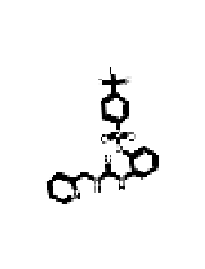 O=C(NCc1ccccn1)Nc1ccccc1OS(=O)(=O)c1ccc(C(F)(F)F)cc1